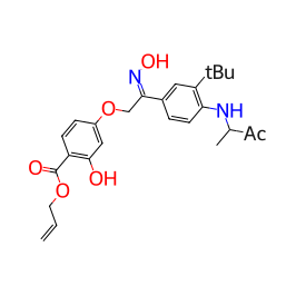 C=CCOC(=O)c1ccc(OCC(=NO)c2ccc(NC(C)C(C)=O)c(C(C)(C)C)c2)cc1O